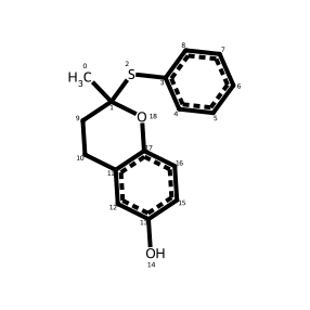 CC1(Sc2ccccc2)CCc2cc(O)ccc2O1